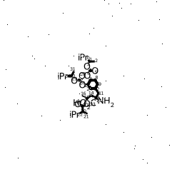 CC(C)C(C)OC(=O)Oc1ccc(CC(N)(C[C@H](C)OC(=O)C(C)C(C)C)C(=O)O)cc1OC(=O)OC(C)C(C)C